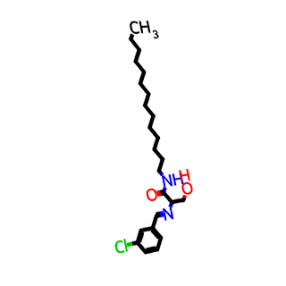 CCCCCCCCCCCCCCNC(=O)C(CO)N=Cc1cccc(Cl)c1